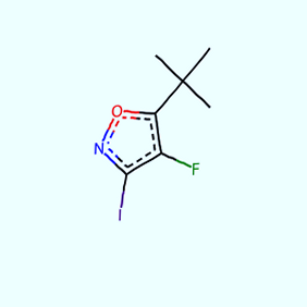 CC(C)(C)c1onc(I)c1F